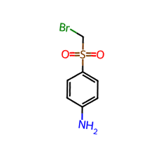 Nc1ccc(S(=O)(=O)CBr)cc1